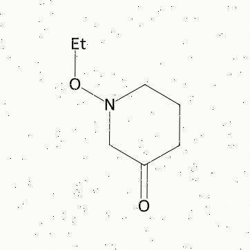 CCON1CCCC(=O)C1